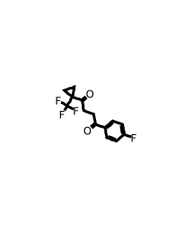 O=C(CCC(=O)C1(C(F)(F)F)CC1)c1ccc(F)cc1